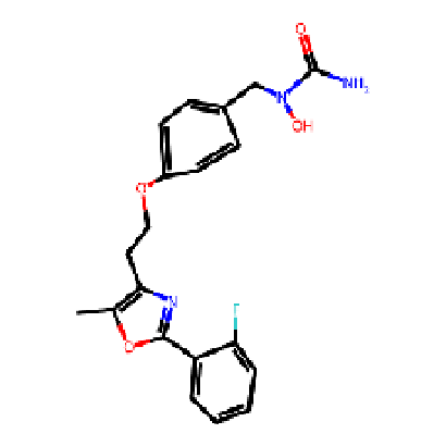 Cc1oc(-c2ccccc2F)nc1CCOc1ccc(CN(O)C(N)=O)cc1